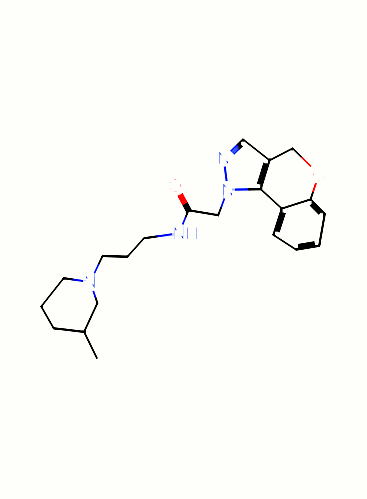 CC1CCCN(CCCNC(=O)Cn2ncc3c2-c2ccccc2OC3)C1